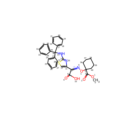 COC(=O)C1(O/N=C(\C(=O)O)c2csc(NC(c3ccccc3)(c3ccccc3)c3ccccc3)n2)CCCCC1